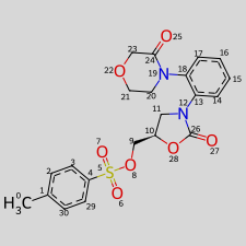 Cc1ccc(S(=O)(=O)OC[C@H]2CN(c3ccccc3N3CCOCC3=O)C(=O)O2)cc1